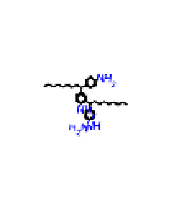 CCCCCCCCC(c1ccc(N)cc1)c1ccc(N)c(C(CCCCCCCC)c2ccc(NN)cc2)c1